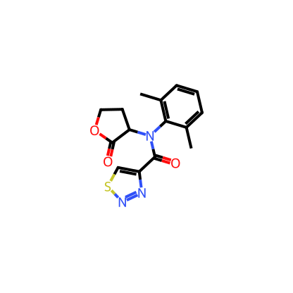 Cc1cccc(C)c1N(C(=O)c1csnn1)C1CCOC1=O